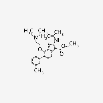 C=C(C)Nc1sc2c(OCCN(CC)CC)c(-c3cccc(C)c3)ccc2c1C(=O)OCC